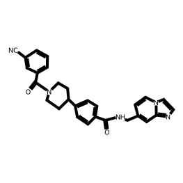 N#Cc1cccc(C(=O)N2CCC(c3ccc(C(=O)NCc4ccn5ccnc5c4)cc3)CC2)c1